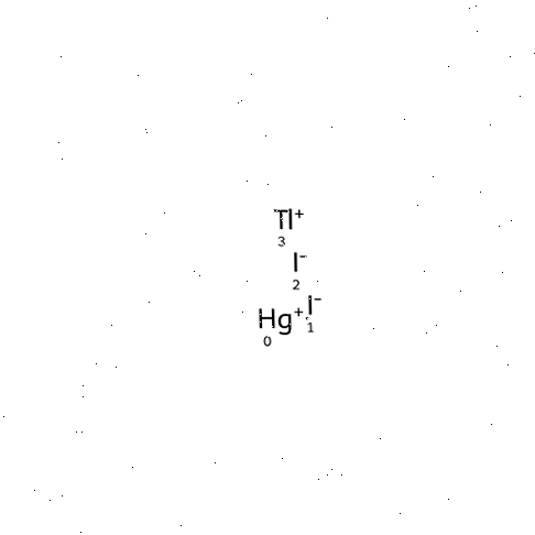 [Hg+].[I-].[I-].[Tl+]